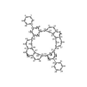 c1ccc(-c2nc3nc(n2)c2ccc4sc5ccc(cc5c4c2)c2nc(-c4ccccc4)nc(n2)c2ccc4ncc5ccc3cc5c4c2)cc1